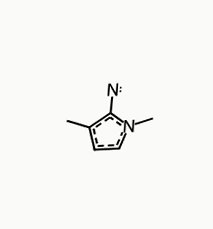 Cc1ccn(C)c1[N]